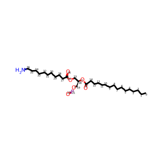 CCCCCCCCCCCCCCCC(=O)O[C@@H](COP=O)COC(=O)CCCCCCCCCCN